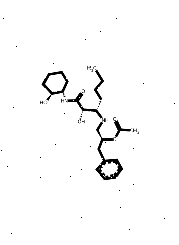 CCCC[C@H](NC[C@H](Cc1ccccc1)OC(C)=O)[C@H](O)C(=O)N[C@H]1CCCC[C@@H]1O